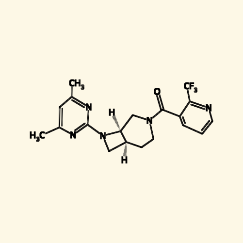 Cc1cc(C)nc(N2C[C@@H]3CCN(C(=O)c4cccnc4C(F)(F)F)C[C@@H]32)n1